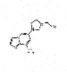 C[C](C)C[C@@H]1CCN(c2cc(C(F)(F)F)c3nccn3c2)C1